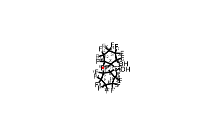 O=S(O)(O)(C1(F)C(F)(F)C(F)(F)C(F)(F)C(F)(F)C1(F)F)C1(F)C(F)(F)C(F)(F)C(F)(F)C(F)(F)C1(F)F